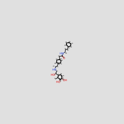 Cc1c([C@@H](O)CN[C@H](C)Cc2ccc(CC(=O)NCCCc3ccccc3)cc2)ccc(O)c1O